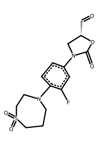 O=C[C@H]1CN(c2ccc(N3CCCS(=O)(=O)CC3)c(F)c2)C(=O)O1